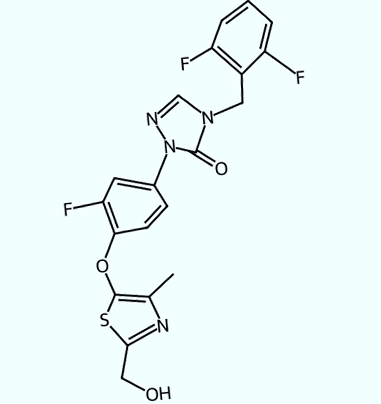 Cc1nc(CO)sc1Oc1ccc(-n2ncn(Cc3c(F)cccc3F)c2=O)cc1F